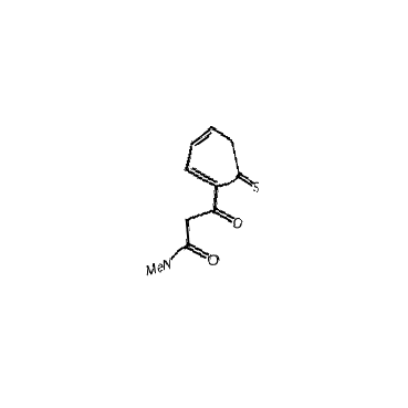 CNC(=O)CC(=O)C1=CC=CCC1=S